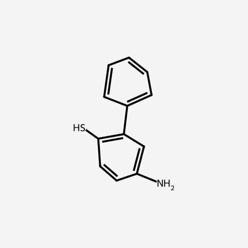 Nc1ccc(S)c(-c2ccccc2)c1